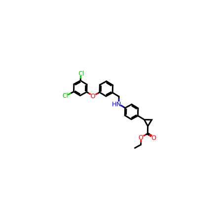 CCOC(=O)C1CC1c1ccc(NCc2cccc(Oc3cc(Cl)cc(Cl)c3)c2)cc1